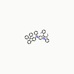 CCC1C2=C(c3ccccc3C)C3C=C(N(c4ccccc4)c4ccc5c(c4)C(c4ccccc4)(c4ccccc4)c4ccccc4-5)C=CC3N2c2ccccc21